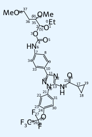 CCO[C@@H](OC(=O)Nc1ccc(-c2nc(NC(=O)C3CC3)n(-c3ccc(OC(F)(F)C(F)(F)F)cc3)n2)cc1)[C@@H](CCOC)OC